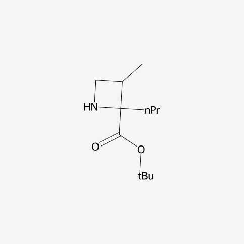 CCCC1(C(=O)OC(C)(C)C)NCC1C